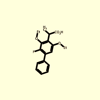 CCOc1cc(-c2ccccc2)c(F)c(OCC)c1C(C)C(=O)O